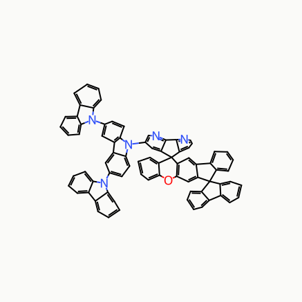 c1ccc2c(c1)Oc1cc3c(cc1C21c2cccnc2-c2ncc(-n4c5ccc(-n6c7ccccc7c7ccccc76)cc5c5cc(-n6c7ccccc7c7ccccc76)ccc54)cc21)-c1ccccc1C31c2ccccc2-c2ccccc21